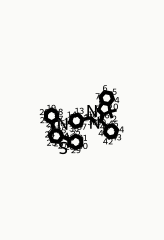 CC1(C)c2ccccc2-c2nc(-c3ccc(-n4c5ccccc5c5ccc6sc7ccccc7c6c54)cc3)nc(-c3ccccc3)c21